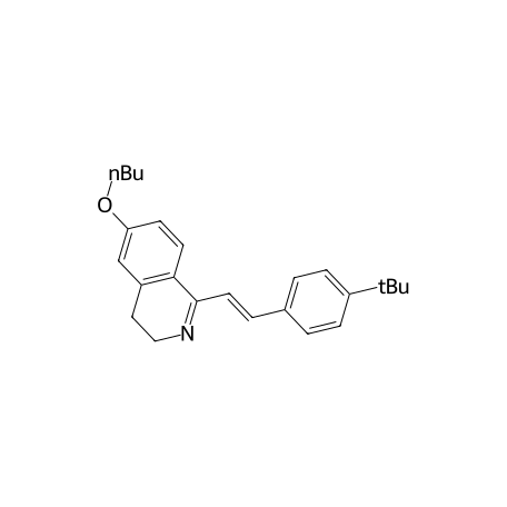 CCCCOc1ccc2c(c1)CCN=C2C=Cc1ccc(C(C)(C)C)cc1